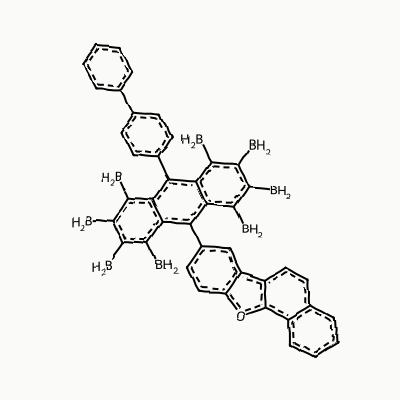 Bc1c(B)c(B)c2c(-c3ccc4oc5c6ccccc6ccc5c4c3)c3c(B)c(B)c(B)c(B)c3c(-c3ccc(-c4ccccc4)cc3)c2c1B